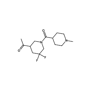 CC(=O)C1CN(C(=O)C2CCN(C)CC2)CC(F)(F)C1